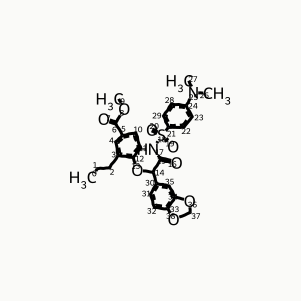 CCCc1cc(C(=O)OC)ccc1OC(C(=O)NS(=O)(=O)c1ccc(N(C)C)cc1)c1ccc2c(c1)OCO2